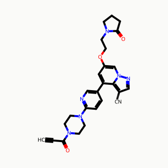 C#CC(=O)N1CCN(c2ccc(-c3cc(OCCN4CCCC4=O)cn4ncc(C#N)c34)cn2)CC1